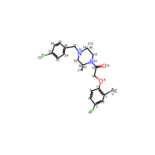 CC(=O)c1cc(F)ccc1OCC(=O)N1C[C@@H](C)N(Cc2ccc(F)cc2)C[C@@H]1C